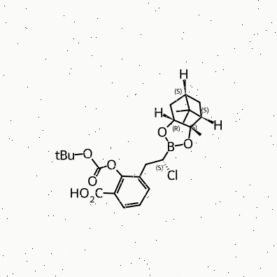 CC(C)(C)OC(=O)Oc1c(C[C@@H](Cl)B2O[C@@H]3C[C@@H]4C[C@@H](C4(C)C)[C@]3(C)O2)cccc1C(=O)O